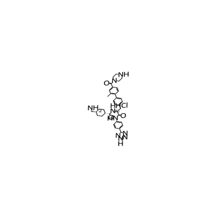 Cc1cc(C(=O)N2CCNCC2)ccc1-c1ccc(C[C@H](NC(=O)[C@H]2CC[C@H](CN)CC2)C(=O)Nc2ccc(-c3nn[nH]n3)cc2)cc1.Cl